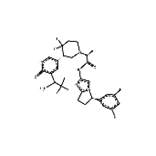 C[C@@H](C(=O)Nc1cn2c(n1)CC[C@@H]2c1cc(F)cc(F)c1)N1CCC(F)(F)[C@@H](c2c[nH]c(=O)c(C(N)C(F)(F)F)c2)C1